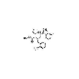 Cc1ccccc1CN(CC(=O)N(C)c1cccc(Cl)c1)C(C(=O)OC(C)(C)C)[C@@H]1CCCN1